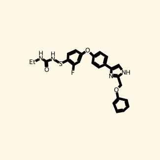 CCNC(=O)NSc1ccc(Oc2ccc(-c3c[nH]c(COc4ccccc4)n3)cc2)cc1F